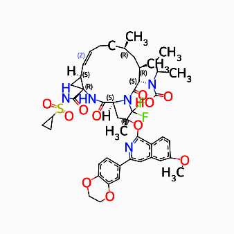 CCC(C)N(C(=O)O)[C@@H]1C(=O)N2[C@@H](C[C@@](C)(Oc3nc(-c4ccc5c(c4)OCCO5)cc4cc(OC)ccc34)C2(F)F)C(=O)N[C@]2(C(=O)NS(=O)(=O)C3CC3)C[C@H]2/C=C\CC[C@@H](C)C[C@H]1C